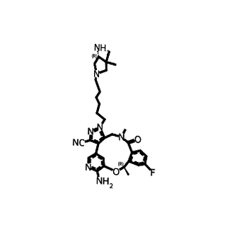 C[C@H]1Oc2cc(cnc2N)-c2c(C#N)nn(CCCCCCN3C[C@H](N)C(C)(C)C3)c2CN(C)C(=O)c2ccc(F)cc21